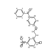 O=C(c1ccccc1)c1ccc(OCCc2cc([N+](=O)[O-])ccc2Cl)cc1